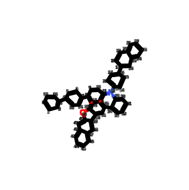 c1ccc(-c2ccc(-c3ccc(N(c4ccc(-c5ccc6ccccc6c5)cc4)c4ccccc4-c4ccc5oc6cc7ccccc7cc6c5c4)cc3)cc2)cc1